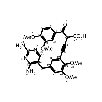 COc1ccc(C(=O)C(C#Cc2cc(Cc3cnc(N)nc3N)cc(OC)c2OC)C(=O)O)cc1OC